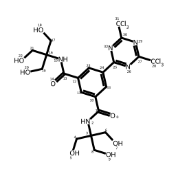 O=C(NC(CO)(CO)CO)c1cc(C(=O)NC(CO)(CO)CO)cc(-c2nc(C(Cl)(Cl)Cl)nc(C(Cl)(Cl)Cl)n2)c1